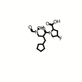 O=CN(O)CC(CC1CCCC1)C(=O)N1CC(F)CC1C(=O)O